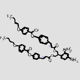 Nc1ccc(C(COC(=O)/C=C/c2ccc(OC(=O)c3ccc(OCCCC(F)(F)F)cc3)cc2)COC(=O)/C=C/c2ccc(OC(=O)c3ccc(OCCCC(F)(F)F)cc3)cc2)c(N)c1